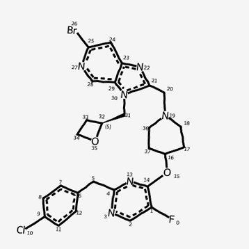 Fc1cnc(Cc2ccc(Cl)cc2)nc1OC1CCN(Cc2nc3cc(Br)ncc3n2C[C@@H]2CCO2)CC1